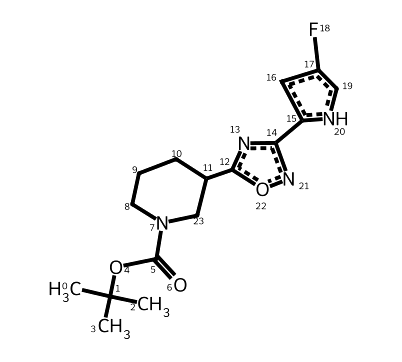 CC(C)(C)OC(=O)N1CCCC(c2nc(-c3cc(F)c[nH]3)no2)C1